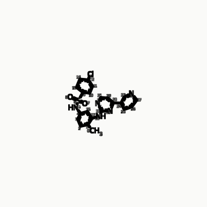 Cc1ccc(NS(=O)(=O)c2ccc(Cl)cc2)cc1Nc1nccc(-c2cccnc2)n1